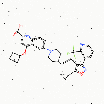 O=C(O)c1cc(OC2CCC2)c2cc(N3CCC(/C=C/c4c(-c5cccnc5C(F)(F)F)noc4C4CC4)CC3)ccc2n1